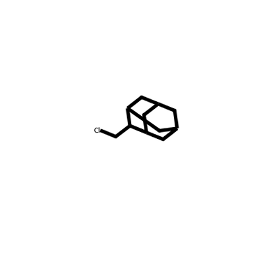 ClCC1C2CC3CC(C2)CC1C3